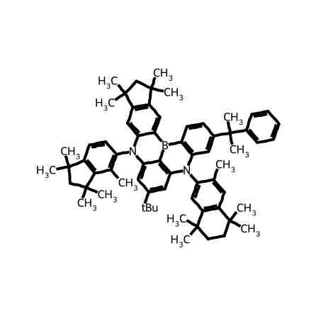 Cc1cc2c(cc1N1c3cc(C(C)(C)c4ccccc4)ccc3B3c4cc5c(cc4N(c4ccc6c(c4C)C(C)(C)CC6(C)C)c4cc(C(C)(C)C)cc1c43)C(C)(C)CC5(C)C)C(C)(C)CCC2(C)C